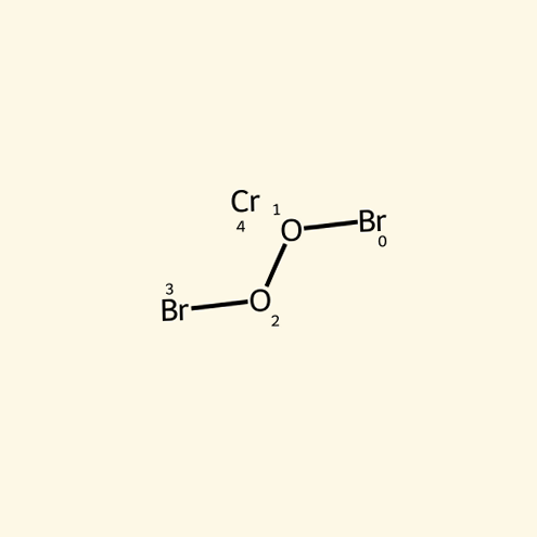 BrOOBr.[Cr]